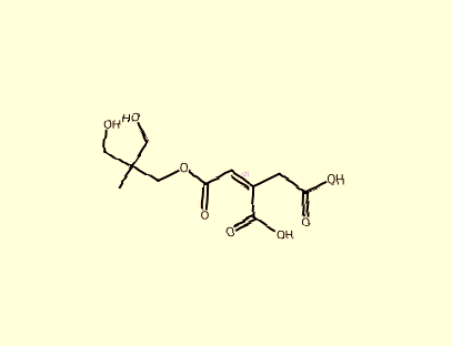 CC(CO)(CO)COC(=O)/C=C(/CC(=O)O)C(=O)O